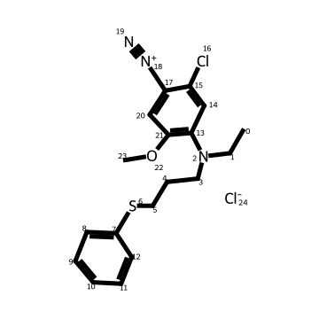 CCN(CCCSc1ccccc1)c1cc(Cl)c([N+]#N)cc1OC.[Cl-]